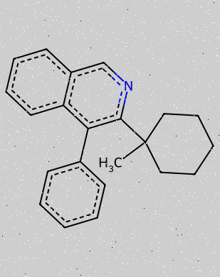 CC1(c2ncc3ccccc3c2-c2ccccc2)CCCCC1